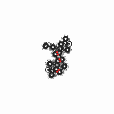 O=c1c2ccccc2c2ccc3c4c2n1-c1ccccc1B4c1cc(-c2ccc(-c4cccc(-c5ccccc5)c4N4c5ccc(-c6ccccc6)cc5B5c6ccccc6-n6c(=O)c7ccccc7c7ccc4c5c76)cc2)ccc1N3c1ccc(-c2ccccc2)cc1